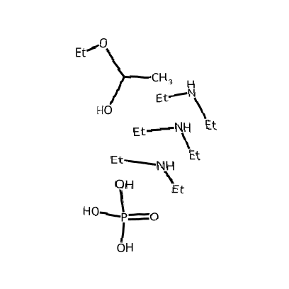 CCNCC.CCNCC.CCNCC.CCOC(C)O.O=P(O)(O)O